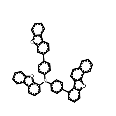 c1ccc2c(c1)ccc1c2oc2cccc(-c3ccc(N(c4ccc(-c5ccc6c(c5)oc5ccccc56)cc4)c4cccc5c4oc4ccccc45)cc3)c21